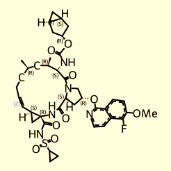 COc1ccc2c(O[C@@H]3C[C@H]4C(=O)N[C@]5(C(=O)NS(=O)(=O)C6CC6)C[C@H]5/C=C\CC[C@@H](C)C[C@@H](C)[C@H](NC(=O)O[C@@H]5C[C@@H]6C[C@@H]6C5)C(=O)N4C3)nccc2c1F